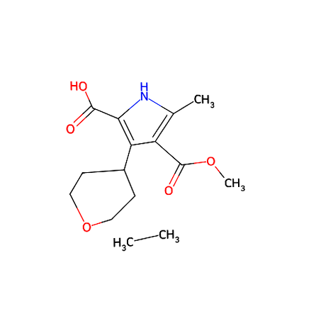 CC.COC(=O)c1c(C)[nH]c(C(=O)O)c1C1CCOCC1